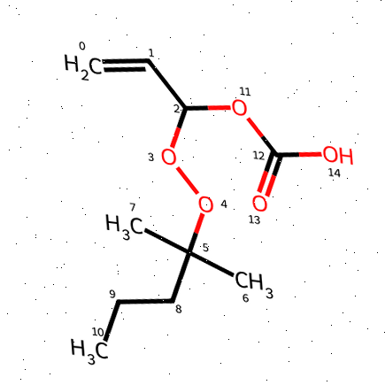 C=CC(OOC(C)(C)CCC)OC(=O)O